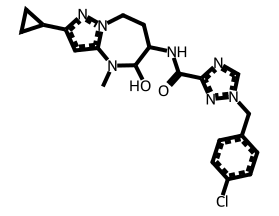 CN1c2cc(C3CC3)nn2CCC(NC(=O)c2ncn(Cc3ccc(Cl)cc3)n2)C1O